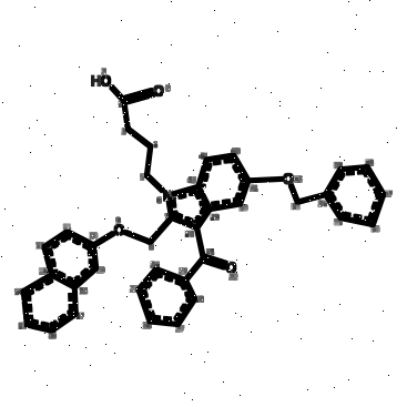 O=C(O)CCCn1c(COc2ccc3ccccc3c2)c(C(=O)c2ccccc2)c2cc(OCc3ccccc3)ccc21